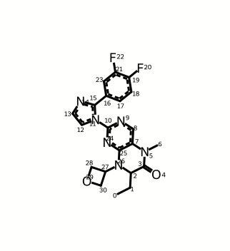 CCC1C(=O)N(C)c2cnc(-n3ccnc3-c3ccc(F)c(F)c3)nc2N1C1COC1